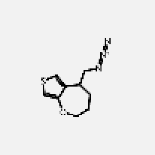 [N-]=[N+]=NCC1CCCOc2cscc21